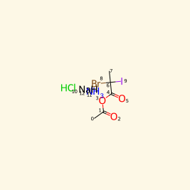 CC(=O)OC(=O)C(C)(Br)I.Cl.N.[NaH]